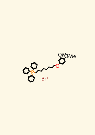 COc1ccc(OCCCCCCCC[P+](c2ccccc2)(c2ccccc2)c2ccccc2)cc1OC.[Br+]